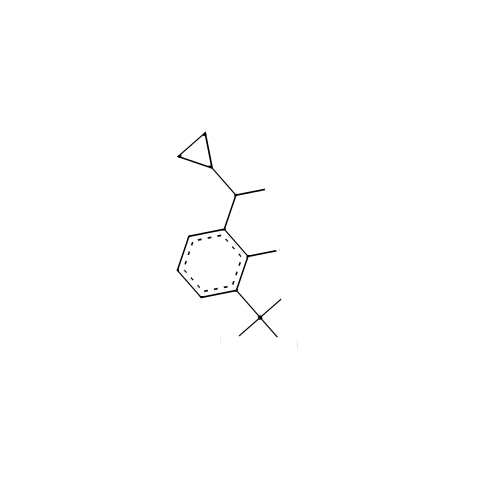 CC(c1cccc(C(C)(C)O)c1O)C1CC1